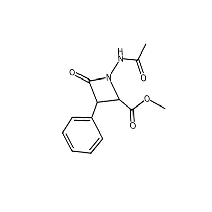 COC(=O)C1C(c2ccccc2)C(=O)N1NC(C)=O